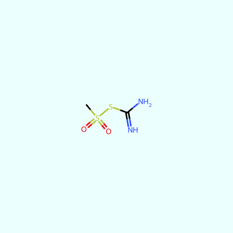 CS(=O)(=O)SC(=N)N